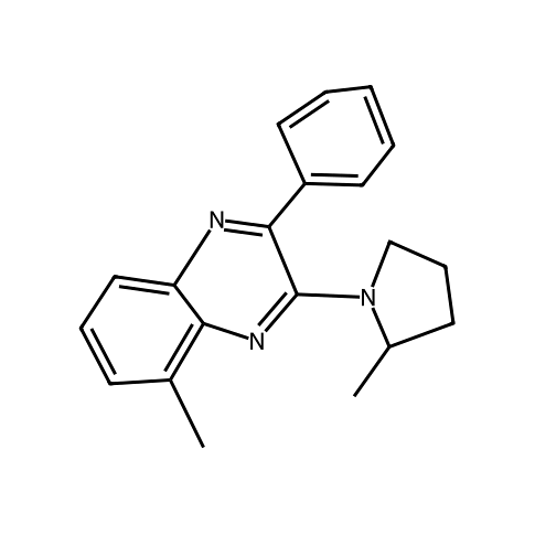 Cc1cccc2nc(-c3ccccc3)c(N3CCCC3C)nc12